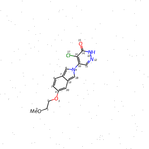 COCCOc1ccc2cn(-c3cn[nH]c(=O)c3Cl)cc2c1